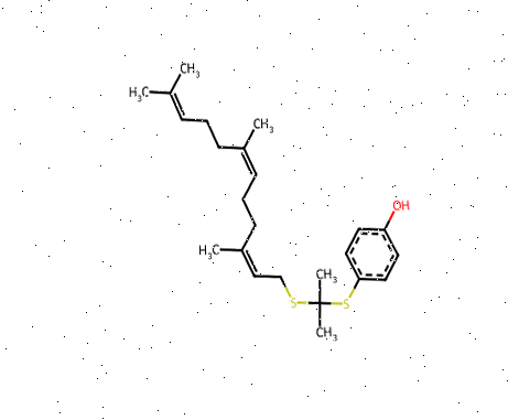 CC(C)=CCCC(C)=CCCC(C)=CCSC(C)(C)Sc1ccc(O)cc1